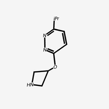 CC(C)c1ccc(OC2CNC2)nn1